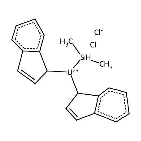 C[SiH](C)[U+2]([CH]1C=Cc2ccccc21)[CH]1C=Cc2ccccc21.[Cl-].[Cl-]